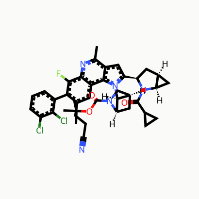 Cc1nc2c(F)c(-c3cccc(Cl)c3Cl)c(CCC#N)cc2c2c1cc([C@H]1C[C@H]3C[C@H]3N1C(=O)C1CC1)n2[C@H]1[C@@H]2C[C@H]1N(C(=O)OC(C)(C)C)C2